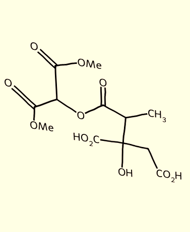 COC(=O)C(OC(=O)C(C)C(O)(CC(=O)O)C(=O)O)C(=O)OC